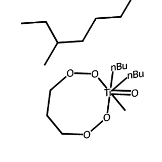 CCCCC(C)CC.CCC[CH2][Ti]1([CH3])(=[O])([CH2]CCC)[O]OCCCO[O]1